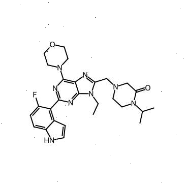 CCn1c(CN2CCN(C(C)C)C(=O)C2)nc2c(N3CCOCC3)nc(-c3c(F)ccc4[nH]ccc34)nc21